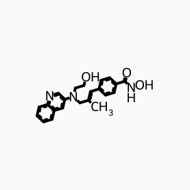 CC(=Cc1ccc(C(=O)NO)cc1)CN(CCO)c1cnc2ccccc2c1